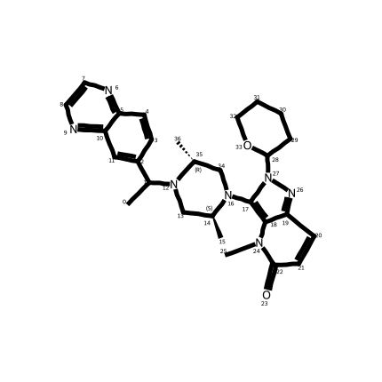 CC(c1ccc2nccnc2c1)N1C[C@H](C)N(c2c3c(ccc(=O)n3C)nn2C2CCCCO2)C[C@H]1C